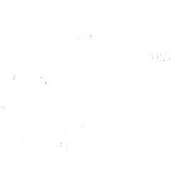 COc1ccc(COc2cccc(-c3cnc4[nH]cc(CC(C)(C)C=O)c4n3)c2)cc1